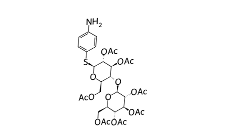 CC(=O)OC[C@H]1O[C@@H](Sc2ccc(N)cc2)[C@H](OC(C)=O)[C@@H](OC(C)=O)[C@@H]1O[C@@H]1O[C@H](COC(C)=O)[C@@H](OC(C)=O)[C@H](OC(C)=O)[C@H]1OC(C)=O